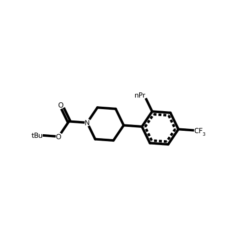 CCCc1cc(C(F)(F)F)ccc1C1CCN(C(=O)OC(C)(C)C)CC1